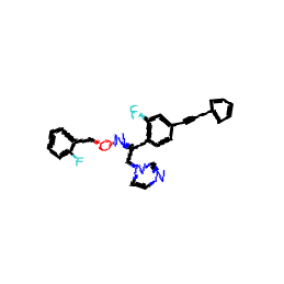 Fc1ccccc1CO/N=C(\Cn1ccnc1)c1ccc(C#Cc2ccccc2)cc1F